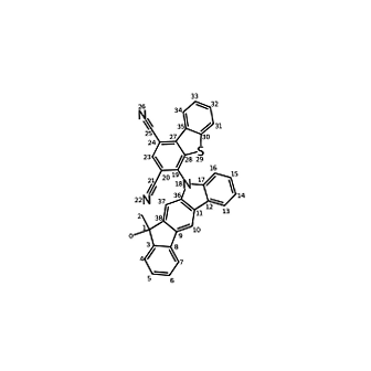 CC1(C)c2ccccc2-c2cc3c4ccccc4n(-c4c(C#N)cc(C#N)c5c4sc4ccccc45)c3cc21